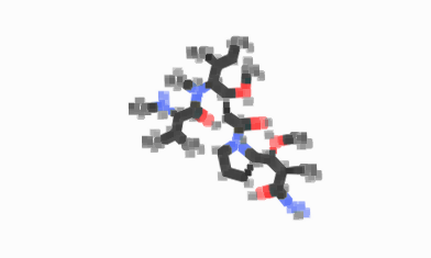 CC[C@H](C)[C@@H]([C@@H](CC(=O)N1CCC[C@H]1[C@H](OC)[C@@H](C)C(N)=O)OC)N(C)C(=O)[C@@H](NC)C(C)C